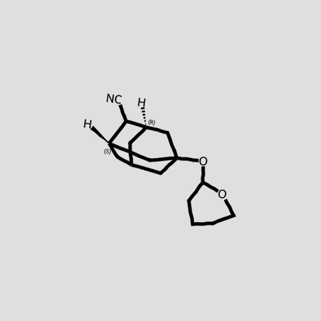 N#CC1[C@@H]2CC3C[C@H]1CC(OC1CCCCO1)(C3)C2